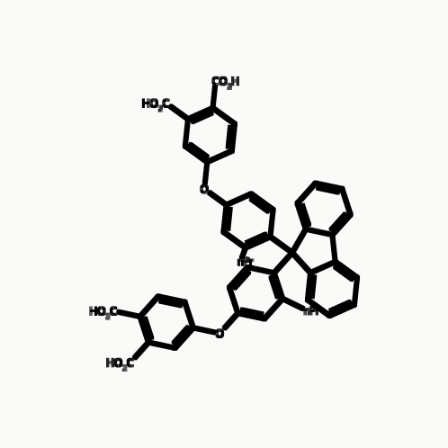 CCCc1cc(Oc2ccc(C(=O)O)c(C(=O)O)c2)ccc1C1(c2ccc(Oc3ccc(C(=O)O)c(C(=O)O)c3)cc2CCC)c2ccccc2-c2ccccc21